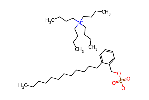 CCCCCCCCCCCCc1ccccc1COS(=O)(=O)[O-].CCCC[N+](CCCC)(CCCC)CCCC